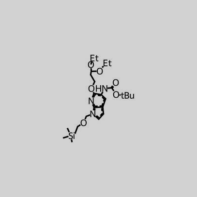 CCOC(CCOc1nc2c(ccn2COCC[Si](C)(C)C)cc1NC(=O)OC(C)(C)C)OCC